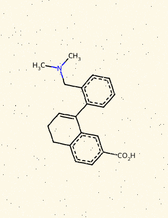 CN(C)Cc1ccccc1C1=CCCc2ccc(C(=O)O)cc21